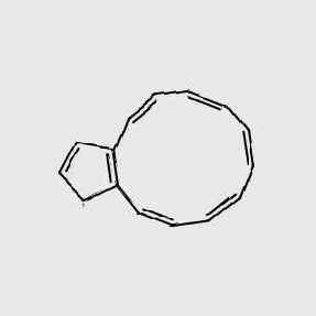 [CH]1C=CC2=C1\C=C/C=C\C=C/C=C\C=C/2